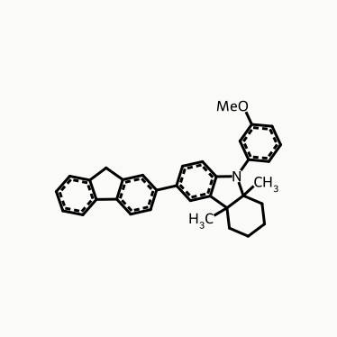 COc1cccc(N2c3ccc(-c4ccc5c(c4)Cc4ccccc4-5)cc3C3(C)CCCCC23C)c1